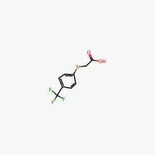 O=C(O)CSc1ccc(C(F)(F)F)cc1